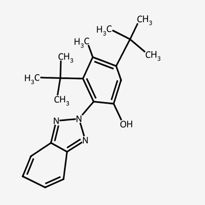 Cc1c(C(C)(C)C)cc(O)c(-n2nc3ccccc3n2)c1C(C)(C)C